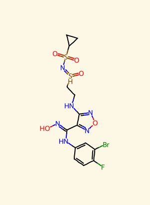 O=[SH](/CCNc1nonc1/C(=N/O)Nc1ccc(F)c(Br)c1)=N\S(=O)(=O)C1CC1